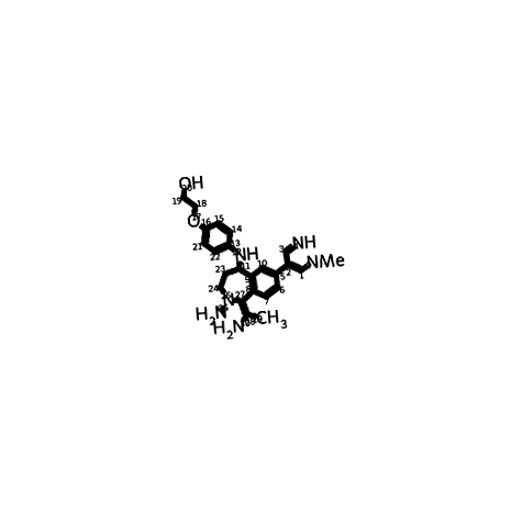 CN/C=C(\C=N)c1ccc2c(c1)C(Nc1ccc(OCCO)cc1)CCN(N)/C2=C(/C)N